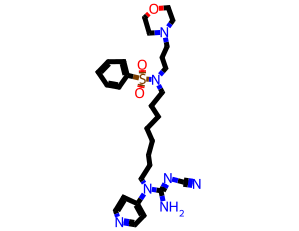 N#CN=C(N)N(CCCCCCCCN(CCCN1CCOCC1)S(=O)(=O)c1ccccc1)c1ccncc1